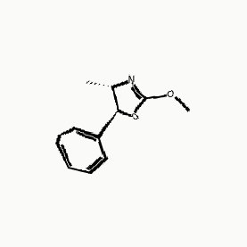 COC1=N[C@@H](C)[C@H](c2ccccc2)O1